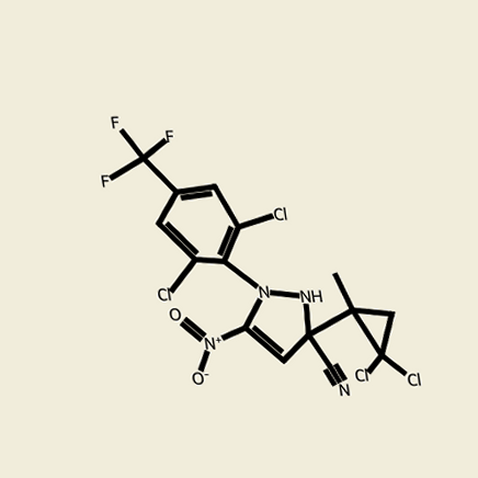 CC1(C2(C#N)C=C([N+](=O)[O-])N(c3c(Cl)cc(C(F)(F)F)cc3Cl)N2)CC1(Cl)Cl